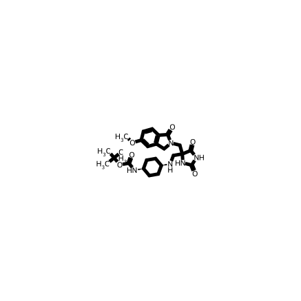 COc1ccc2c(c1)CN(CC1(CN[C@H]3CC[C@@H](NC(=O)OC(C)(C)C)CC3)NC(=O)NC1=O)C2=O